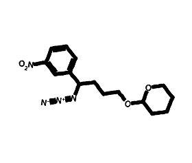 [N-]=[N+]=NC(CCCOC1CCCCO1)c1cccc([N+](=O)[O-])c1